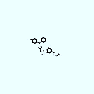 C[C@H](NC(=O)c1cc(NS(=O)(=O)CC2CN(C(c3ccc(Cl)cc3)c3ccc(Cl)cc3)C2)cc(C(F)(F)F)c1)C(N)=O